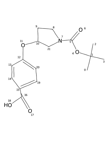 CC(C)(C)OC(=O)N1CCC(Oc2ccc(C(=O)O)cc2)C1